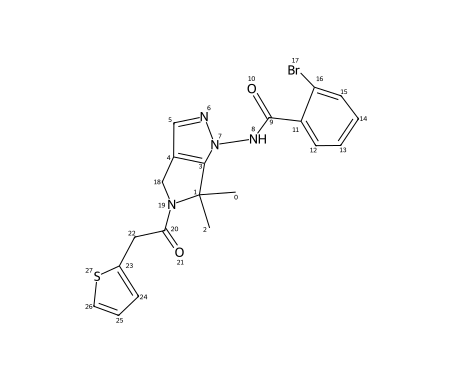 CC1(C)c2c(cnn2NC(=O)c2ccccc2Br)CN1C(=O)Cc1cccs1